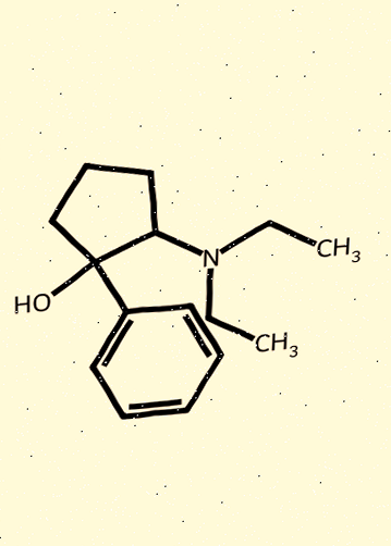 CCN(CC)C1CCCC1(O)c1ccccc1